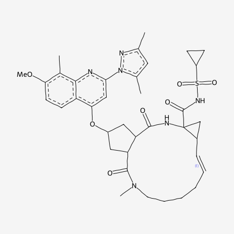 COc1ccc2c(OC3CC4C(=O)NC5(C(=O)NS(=O)(=O)C6CC6)CC5/C=C/CCCCN(C)C(=O)C4C3)cc(-n3nc(C)cc3C)nc2c1C